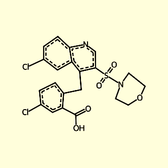 O=C(O)c1cc(Cl)ccc1Cc1c(S(=O)(=O)N2CCOCC2)cnc2ccc(Cl)cc12